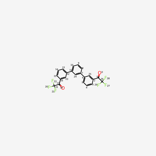 O=C(c1cccc(-c2cccc(-c3cccc(C(=O)C(F)(F)F)c3)c2)c1)C(F)(F)F